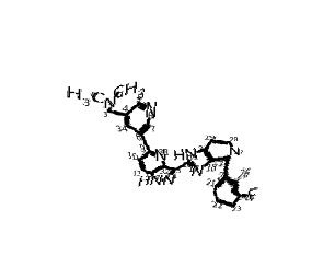 CN(C)Cc1cncc(-c2ccc3[nH]nc(-c4nc5c(-c6cccc(F)c6)nccc5[nH]4)c3n2)c1